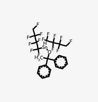 CC([O][SnH]([C](F)(F)C(F)(F)C(F)(F)CF)[C](F)(F)C(F)(F)C(F)(F)CF)(c1ccccc1)c1ccccc1